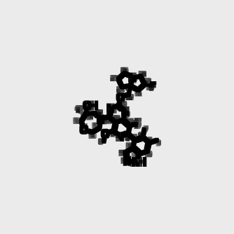 COc1nc(-c2c(C)c(C)cc3[nH]ncc23)c(F)c2nc(OC[C@@]34CCCN3C[C@H](F)C4)nc(N3CCOC[C@@](C)(O)C3)c12